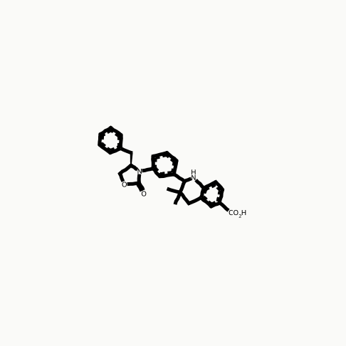 CC1(C)Cc2cc(C(=O)O)ccc2NC1c1cccc(N2C(=O)OC[C@H]2Cc2ccccc2)c1